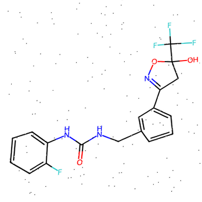 O=C(NCc1cccc(C2=NOC(O)(C(F)(F)F)C2)c1)Nc1ccccc1F